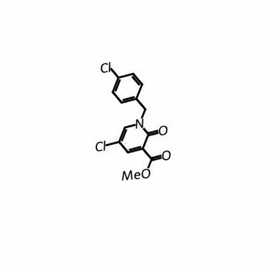 COC(=O)c1cc(Cl)cn(Cc2ccc(Cl)cc2)c1=O